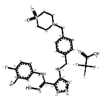 O=C(O)C(F)(F)F.O=S1(=O)CCN(Cc2ccc(CNc3nonc3/C(=N/O)Nc3ccc(F)c(Br)c3)cc2)CC1